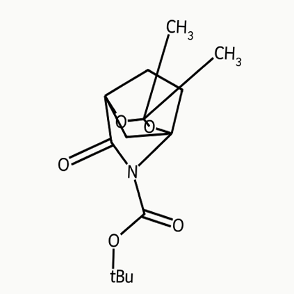 CC(C)(C)OC(=O)N1C(=O)C23CCC1(C2)OC(C)(C)O3